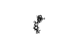 CC(Cc1ccc(Br)cc1)CN1C[C@@H](C)O[C@@H](C)C1